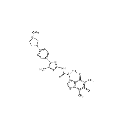 CO[C@H]1CCN(c2ncc(-c3nc(NC(=O)[C@H](C)n4cnc5c4c(=O)n(C)c(=O)n5C)sc3C)cn2)C1